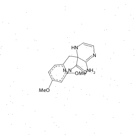 COc1ccc(CC2(C(N)=O)NC=CN=C2N)c(OC)c1